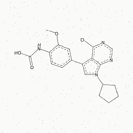 COc1cc(-c2cn(C3CCCC3)c3ncnc(Cl)c23)ccc1NC(=O)O